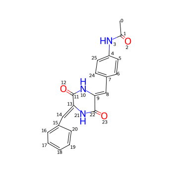 CC(=O)Nc1ccc(/C=c2\[nH]c(=O)/c(=C/c3ccccc3)[nH]c2=O)cc1